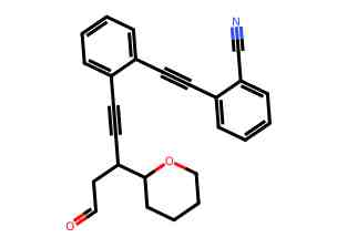 N#Cc1ccccc1C#Cc1ccccc1C#CC(CC=O)C1CCCCO1